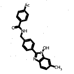 CC(=O)c1ccc(C(=O)NCc2ccc(-c3nc4ccc(C)cc4n3O)cc2)cc1